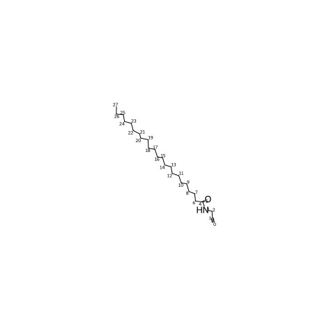 C#CCNC(=O)CCCCCCCCCCCCCCCCCCCCCC